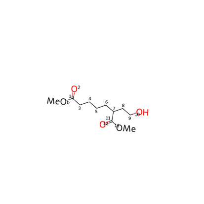 COC(=O)CCCCC(CCO)C(=O)OC